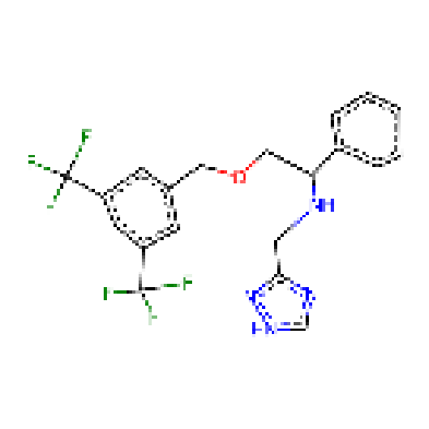 FC(F)(F)c1cc(COCC(NCc2nc[nH]n2)c2ccccc2)cc(C(F)(F)F)c1